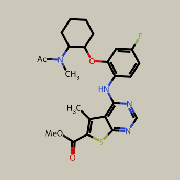 COC(=O)c1sc2ncnc(Nc3ccc(F)cc3OC3CCCCC3N(C)C(C)=O)c2c1C